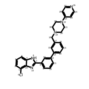 Clc1cccc2[nH]c(-c3cccc(-c4cccc(CN5CCN(c6ccncc6)CC5)c4)c3)nc12